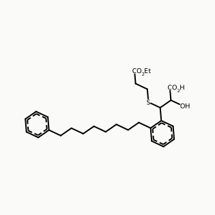 CCOC(=O)CCSC(c1ccccc1CCCCCCCCc1ccccc1)C(O)C(=O)O